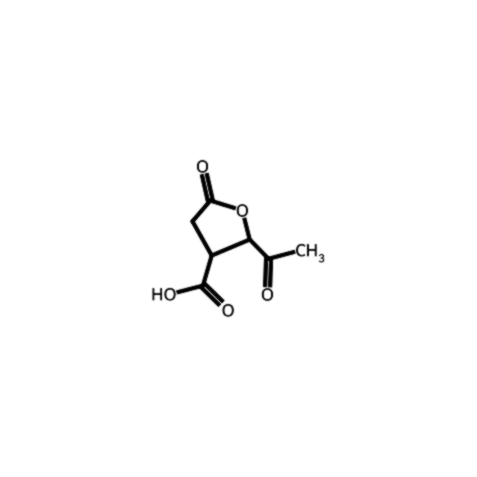 CC(=O)C1OC(=O)CC1C(=O)O